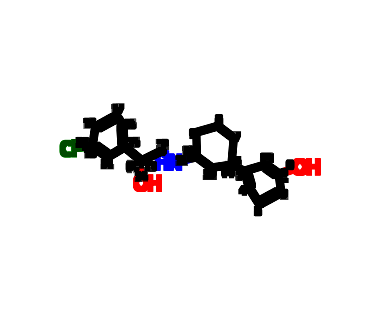 Oc1cccc([C@@H]2CCCC(NC[C@H](O)c3cccc(Cl)c3)C2)c1